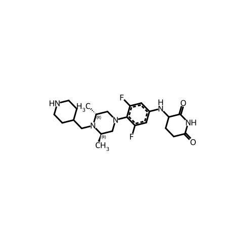 C[C@@H]1CN(c2c(F)cc(NC3CCC(=O)NC3=O)cc2F)C[C@@H](C)N1CC1CCNCC1